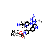 Cn1c(=NC#N)n(-c2ccc(C(C)(C)C#N)nc2)c2c3cc(C4=CCN(C(=O)OC(C)(C)C)CC4)ccc3ncc21